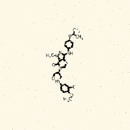 COc1ccc(NCC(C=O)n2cnc3c(Nc4ccc(OC(C)C)cc4)nn(C)c3c2=O)cc1F